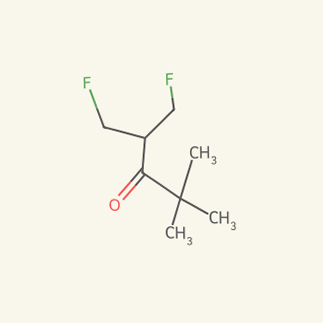 CC(C)(C)C(=O)C(CF)CF